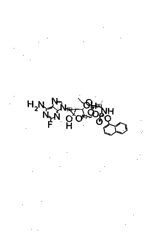 CCOC(=O)[C@H](C)NP(=O)(OC[C@H]1OC2(O)C(C1O)[C@@H]2n1cnc2c(N)nc(F)nc21)Oc1cccc2ccccc12